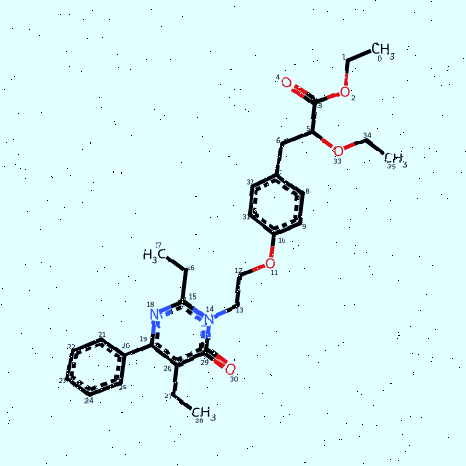 CCOC(=O)C(Cc1ccc(OCCn2c(CC)nc(-c3ccccc3)c(CC)c2=O)cc1)OCC